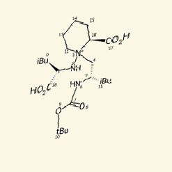 CC[C@H](C)[C@H](N[N+]1(C[C@@H](NC(=O)OC(C)(C)C)[C@@H](C)CC)CCCC[C@H]1C(=O)O)C(=O)O